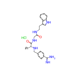 CC(C)C(NCc1ccc(C(=N)N)cc1)C(=O)NCC(=O)NCCc1c[nH]c2ccccc12.Cl